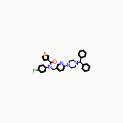 O=C(c1ccsc1)N(Cc1ccc(N2CCN(C(c3ccccc3)c3ccccc3)CC2)nc1)c1ccc(F)cc1